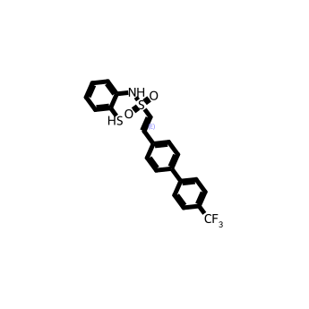 O=S(=O)(/C=C/c1ccc(-c2ccc(C(F)(F)F)cc2)cc1)Nc1ccccc1S